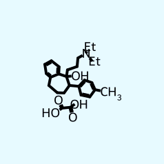 CCN(CC)CCCC1(O)c2ccccc2CCCC1c1ccc(C)cc1.O=C(O)C(=O)O